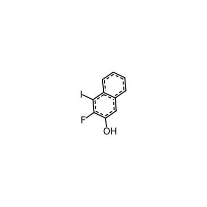 Oc1cc2ccccc2c(I)c1F